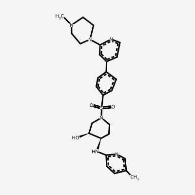 Cc1ccc(N[C@@H]2CCN(S(=O)(=O)c3ccc(-c4ccnc(N5CCN(C)CC5)c4)cc3)C[C@@H]2O)nc1